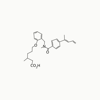 C=C/C=C(\C)c1ccc(C(=O)N(C)Cc2ccccc2OCCCC(C)CC(=O)O)cc1